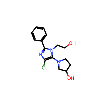 OCCn1c(-c2ccccc2)nc(Cl)c1N1CCC(O)C1